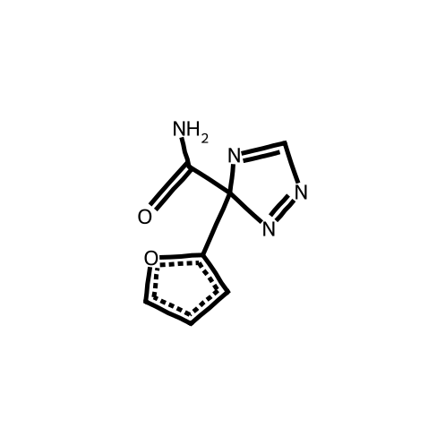 NC(=O)C1(c2ccco2)N=CN=N1